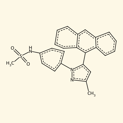 Cc1cc(-c2c3ccccc3cc3ccccc23)n(-c2ccc(NS(C)(=O)=O)cc2)n1